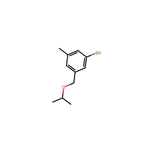 Cc1cc(S)cc(COC(C)C)c1